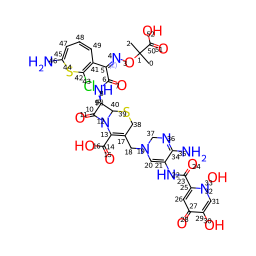 CC(C)(O/N=C(\C(=O)N[C@@H]1C(=O)N2C(C(=O)O)=C(CN3C=C(NC(=O)c4cc(=O)c(O)cn4O)C(N)=NC3)CSC12)C1=C(Cl)SC(N)=CC=C1)C(=O)O